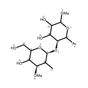 COC1OC(C(C)=O)[C@@H](O[C@@H]2OC(CO)C(O)[C@H](OC)C2C)C(O)C1O